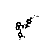 COOCc1ccc(C2(NC(=O)c3cccc4c3N(Cc3ccc(Cl)c(Cl)c3)CC4)CC2)cc1